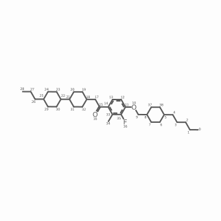 CCCCCC1CCC(COc2ccc(C(=O)CC3CCC(C4CCC(CCC)CC4)CC3)c(C)c2F)CC1